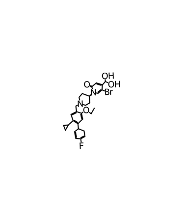 CCOc1cc(C2C=CC(F)=CC2)c(C2CC2)cc1CN1CCC(n2cc(Br)c(C(O)O)cc2=O)CC1